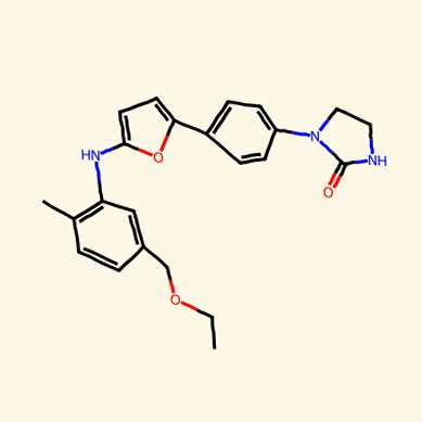 CCOCc1ccc(C)c(Nc2ccc(-c3ccc(N4CCNC4=O)cc3)o2)c1